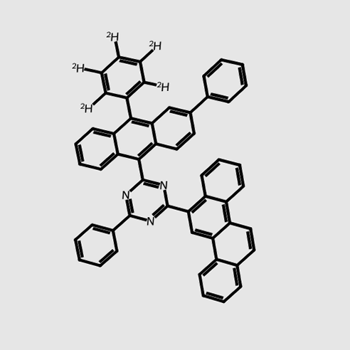 [2H]c1c([2H])c([2H])c(-c2c3ccccc3c(-c3nc(-c4ccccc4)nc(-c4cc5c6ccccc6ccc5c5ccccc45)n3)c3ccc(-c4ccccc4)cc23)c([2H])c1[2H]